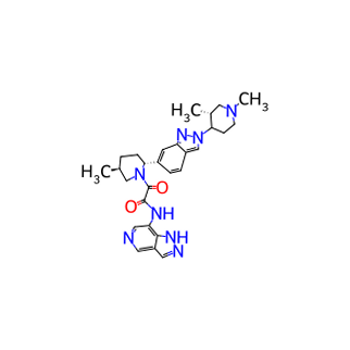 C[C@H]1CC[C@H](c2ccc3cn(C4CCN(C)C[C@H]4C)nc3c2)N(C(=O)C(=O)Nc2cncc3cn[nH]c23)C1